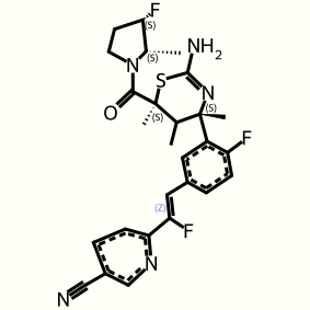 CC1[C@@](C)(C(=O)N2CC[C@H](F)[C@@H]2C)SC(N)=N[C@]1(C)c1cc(/C=C(\F)c2ccc(C#N)cn2)ccc1F